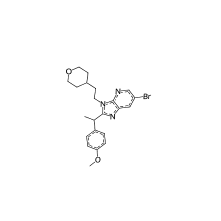 COc1ccc(C(C)c2nc3cc(Br)cnc3n2CCC2CCOCC2)cc1